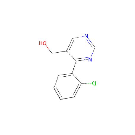 OCc1cncnc1-c1ccccc1Cl